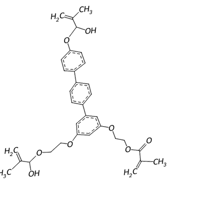 C=C(C)C(=O)OCCOc1cc(OCCOC(O)C(=C)C)cc(-c2ccc(-c3ccc(OC(O)C(=C)C)cc3)cc2)c1